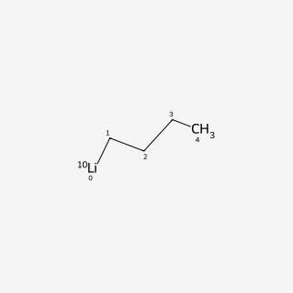 [10Li][CH2]CCC